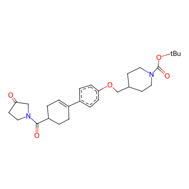 CC(C)(C)OC(=O)N1CCC(COc2ccc(C3=CCC(C(=O)N4CCC(=O)C4)CC3)cc2)CC1